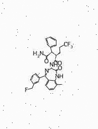 Cc1cccc2c1NC(=O)[C@@H](NC(=O)[C@H](CCC(F)(F)F)[C@@H](C(N)=O)c1ccccc1)N=C2c1cccc(CF)c1